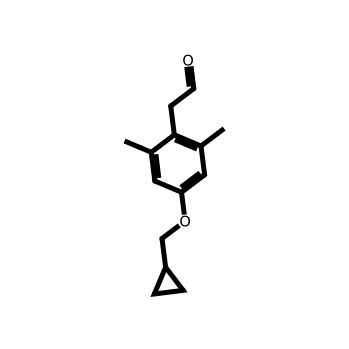 Cc1cc(OCC2CC2)cc(C)c1CC=O